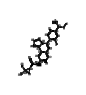 CCC(O)c1cc(C)c(-c2cc3cnc(NC(=O)[C@H]4CC4(F)F)cc3c3nccn23)cn1